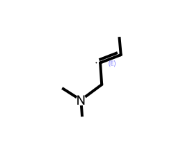 C/C=[C]/CN(C)C